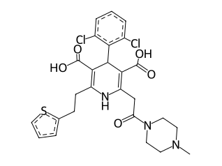 CN1CCN(C(=O)CC2=C(C(=O)O)C(c3c(Cl)cccc3Cl)C(C(=O)O)=C(CCc3cccs3)N2)CC1